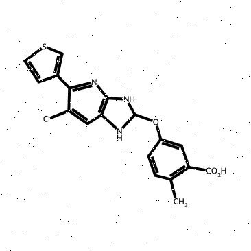 Cc1ccc(OC2Nc3cc(Cl)c(-c4ccsc4)nc3N2)cc1C(=O)O